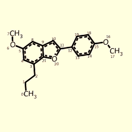 CCCc1cc(OC)cc2cc(-c3ccc(OC)cc3)oc12